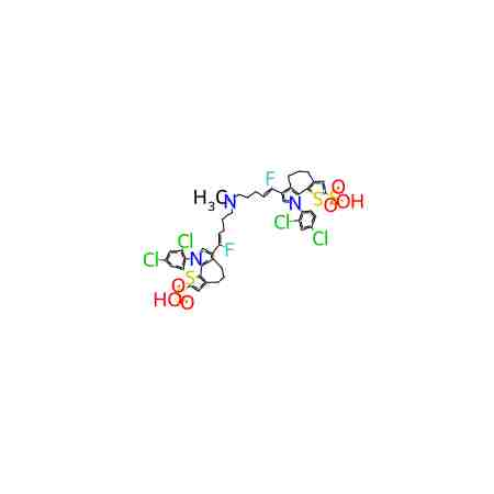 CN(CCC/C=C(\F)c1cn(-c2ccc(Cl)cc2Cl)c2c1CCCc1cc(S(=O)(=O)O)sc1-2)CCC/C=C(\F)c1cn(-c2ccc(Cl)cc2Cl)c2c1CCCc1cc(S(=O)(=O)O)sc1-2